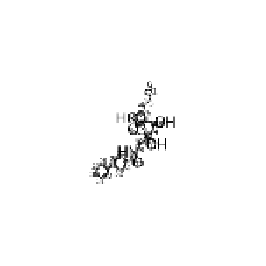 CCSCCCO[C@]1(C(=O)O)C[C@H](O)C[C@H]([C@H](O)CCNC(=O)c2ccc(-c3ccccc3)cc2)O1